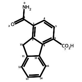 NC(=O)c1ccc(C(=O)O)c2c1Cc1ccccc1-2